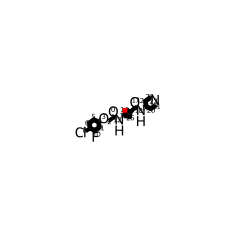 O=C(COc1ccc(Cl)c(F)c1)NC12CC(C(=O)Nc3ccncc3)(C1)C2